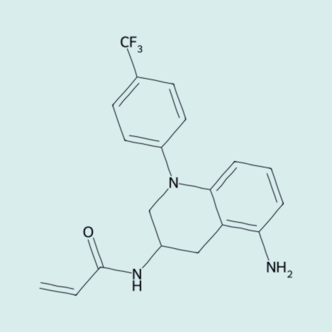 C=CC(=O)NC1Cc2c(N)cccc2N(c2ccc(C(F)(F)F)cc2)C1